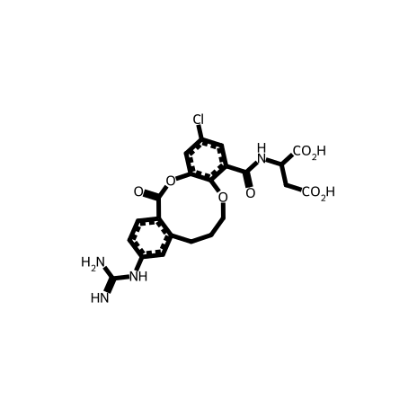 N=C(N)Nc1ccc2c(c1)CCCOc1c(cc(Cl)cc1C(=O)NC(CC(=O)O)C(=O)O)OC2=O